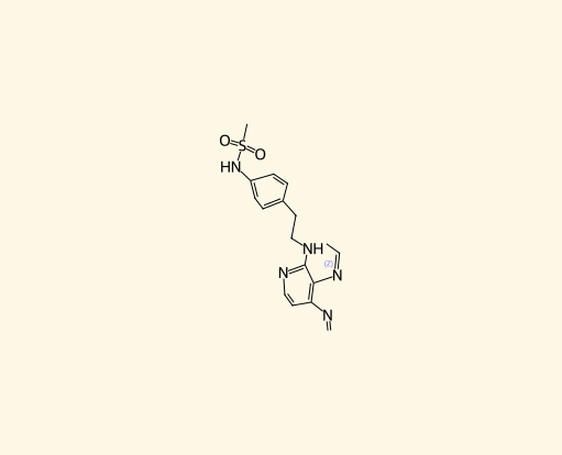 C=Nc1ccnc(NCCc2ccc(NS(C)(=O)=O)cc2)c1/N=C\C